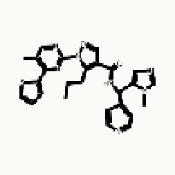 CCCc1c(C(=O)NC(c2ccncc2)c2cncn2C)cnn1-c1ncc(C)c(-c2cccs2)n1